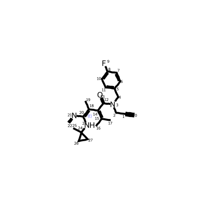 C#CCN(Cc1ccc(F)cc1)C(=O)C(=C(C)C)/C(C)=C(/N=C)NC1(C)CC1